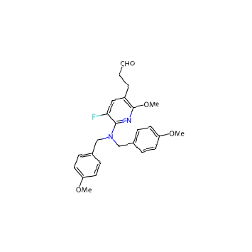 COc1ccc(CN(Cc2ccc(OC)cc2)c2nc(OC)c(CCC=O)cc2F)cc1